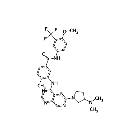 COc1ccc(NC(=O)c2ccc(C)c(Nc3ncnc4cnc(N5CCC(N(C)C)C5)nc34)c2)cc1C(F)(F)F